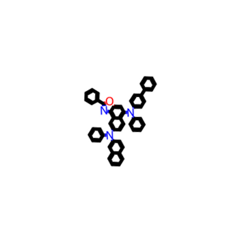 c1ccc(-c2ccc(N(c3ccccc3)c3cc4oc(-c5ccccc5)nc4c4cc(N(c5ccccc5)c5ccc6ccccc6c5)ccc34)cc2)cc1